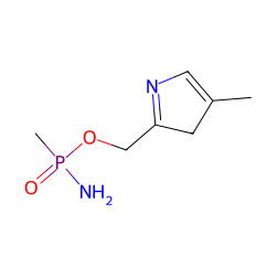 CC1=CN=C(COP(C)(N)=O)C1